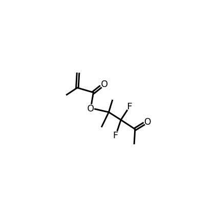 C=C(C)C(=O)OC(C)(C)C(F)(F)C(C)=O